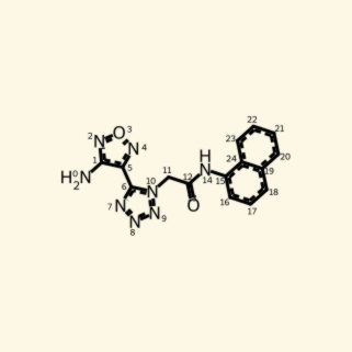 Nc1nonc1-c1nnnn1CC(=O)Nc1cccc2ccccc12